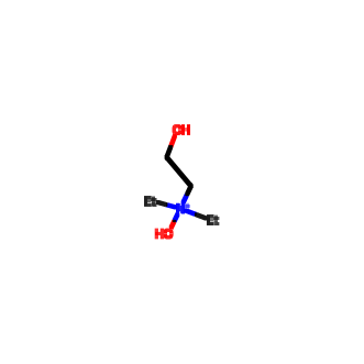 CC[N+](O)(CC)CCO